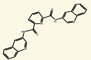 O=C(Nc1cnc2ccccc2c1)c1cccc(C(=O)Nc2cnc3ccccc3c2)n1